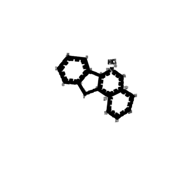 Cl.c1ccc2c(c1)Cc1c-2ncc2ccccc12